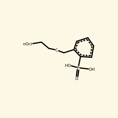 CCCCCCCCCCCCc1ccccc1P(=O)(O)O